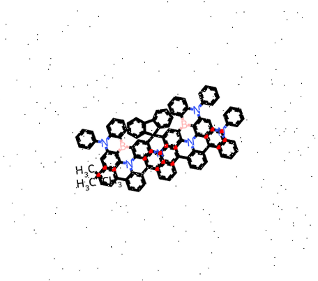 CC(C)(C)c1cc2c3c(c1)N(c1c(-c4ccccc4)cccc1-c1ccccc1)c1cc4c(cc1B3c1ccccc1N2c1ccccc1)C1(c2ccccc2-c2ccccc21)c1cc2c(cc1N4c1ccccc1)N(c1c(-c3ccccc3)cccc1-c1ccccc1)c1cc(N(c3ccccc3)c3ccccc3)cc3c1B2c1ccccc1N3c1ccccc1